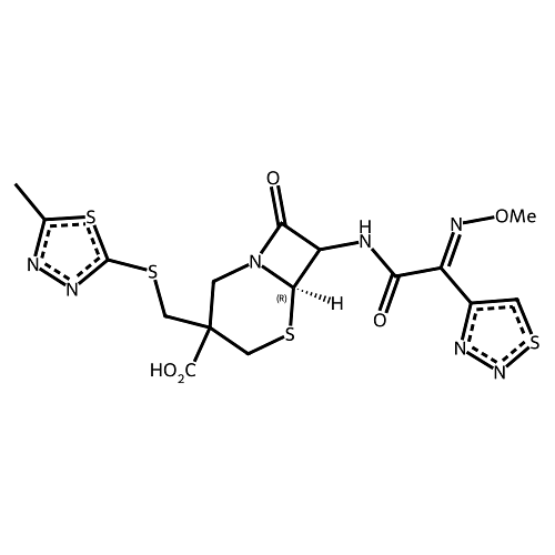 CON=C(C(=O)NC1C(=O)N2CC(CSc3nnc(C)s3)(C(=O)O)CS[C@H]12)c1csnn1